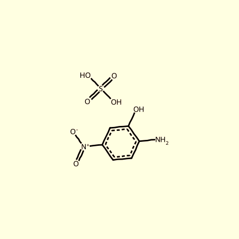 Nc1ccc([N+](=O)[O-])cc1O.O=S(=O)(O)O